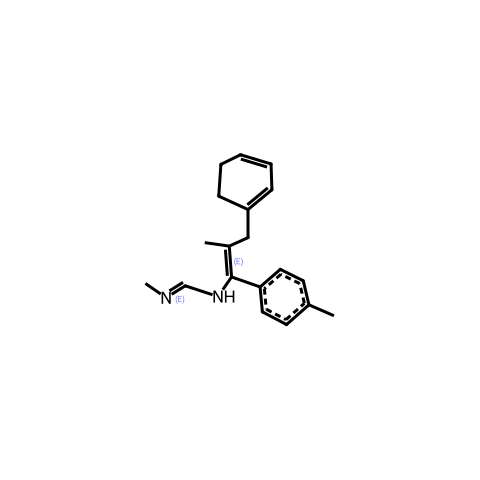 C/N=C/N/C(=C(\C)CC1=CC=CCC1)c1ccc(C)cc1